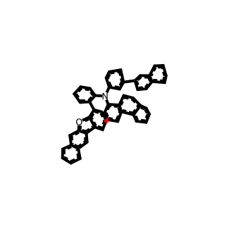 c1cc(-c2ccc3ccccc3c2)cc(N(c2ccccc2-c2cccc3c2oc2cc4ccccc4cc23)c2cccc3c2ccc2ccccc23)c1